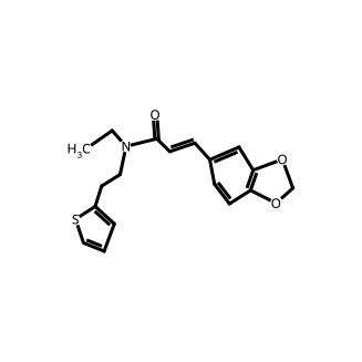 CCN(CCc1cccs1)C(=O)/C=C/c1ccc2c(c1)OCO2